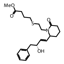 COC(=O)CCCSCCN1C(=O)CCCC1/C=C/[C@H](O)Cc1ccccc1